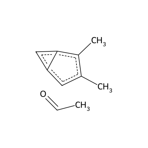 CC=O.Cc1cc2cc-2c1C